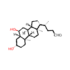 C[C@H](CCC=O)[C@H]1CC[C@H]2[C@@H]3C[C@H](O)[C@H]4C[C@@H](O)CC[C@]4(C)[C@H]3CC[C@]12C